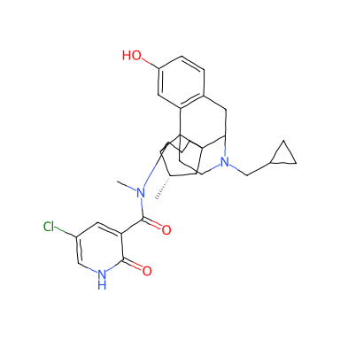 C[C@H]1CC23CCC(N(C)C(=O)c4cc(Cl)c[nH]c4=O)C1C21CCN(CC2CC2)C3Cc2ccc(O)cc21